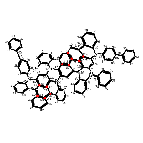 Fc1cccc(-c2ccccc2)c1N1c2cc3c(cc2B2c4ccccc4N(c4ccccc4)c4cc(N(c5ccc(-c6ccccc6)cc5)c5ccccc5-c5ccccc5)cc1c42)B1c2ccccc2N(c2ccccc2)c2cc(N(c4ccc(-c5ccccc5)cc4)c4ccccc4-c4ccccc4)cc(c21)S3